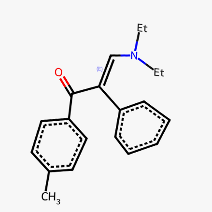 CCN(/C=C(/C(=O)c1ccc(C)cc1)c1ccccc1)CC